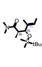 C/C=C(\C)[C@@H](O[Si](C)(C)C(C)(C)C)[C@@H](C)C(=O)N(C)C